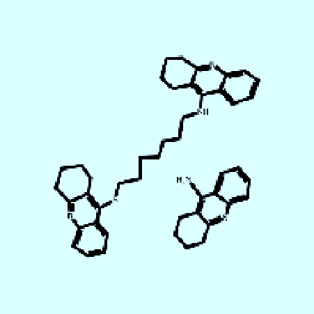 Nc1c2c(nc3ccccc13)CCCC2.c1ccc2c(NCCCCCCCSc3c4c(nc5ccccc35)CCCC4)c3c(nc2c1)CCCC3